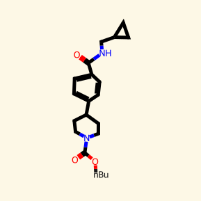 CCCCOC(=O)N1CCC(c2ccc(C(=O)NCC3CC3)cc2)CC1